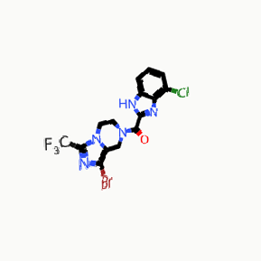 O=C(c1nc2c(Cl)cccc2[nH]1)N1CCn2c(C(F)(F)F)nc(Br)c2C1